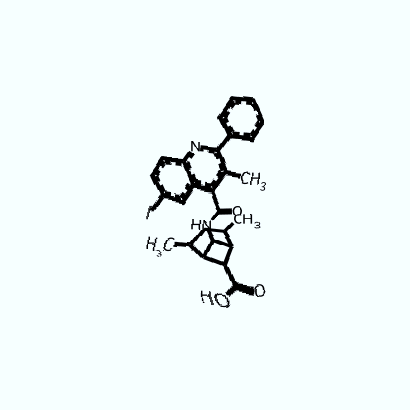 Cc1c(-c2ccccc2)nc2ccc(I)cc2c1C(=O)NC1C2C(C)CC(C)C1C2C(=O)O